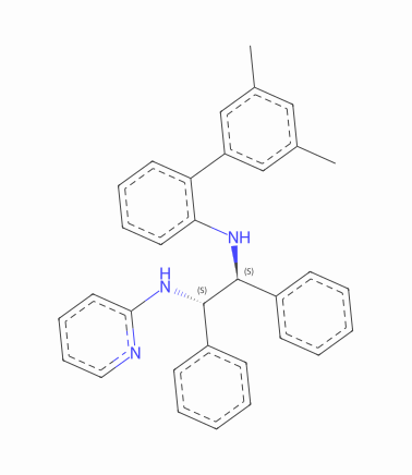 Cc1cc(C)cc(-c2ccccc2N[C@@H](c2ccccc2)[C@@H](Nc2ccccn2)c2ccccc2)c1